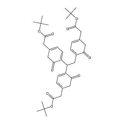 CC(C)(C)OC(=O)CC1=CC=C(CC(C2=CC=C(CC(=O)OC(C)(C)C)CC2=O)C2=CC=C(CC(=O)OC(C)(C)C)CC2=O)C(=O)C1